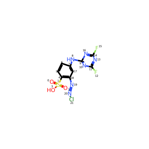 O=S(=O)(O)c1ccc(Nc2nc(F)nc(F)n2)cc1/N=N/Cl